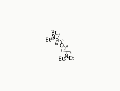 CCN(CC)C(C)(C)COCC(C)(C)N(CC)CC